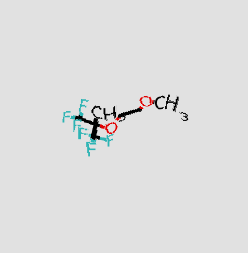 COCCOC(C)(C(F)(F)F)C(F)(F)F